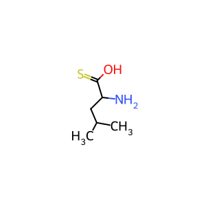 CC(C)CC(N)C(O)=S